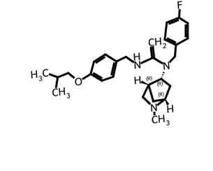 C=C(NCc1ccc(OCC(C)C)cc1)N(Cc1ccc(F)cc1)[C@@H]1C[C@H]2C[C@@H]1CN2C